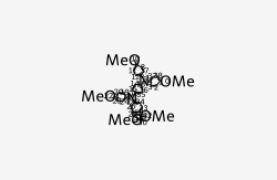 COc1ccc(N(c2ccc(OC)cc2)c2ccc(N(c3ccc(OC)cc3)c3ccc([Si](C)(OC)OC)cc3)cc2)cc1